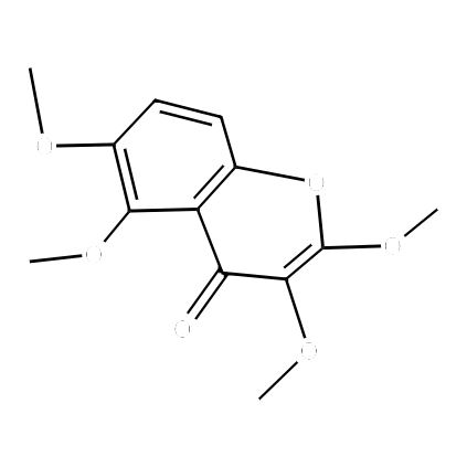 COc1ccc2oc(OC)c(OC)c(=O)c2c1OC